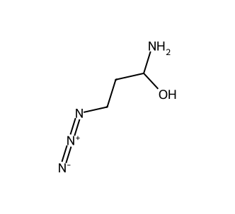 [N-]=[N+]=NCCC(N)O